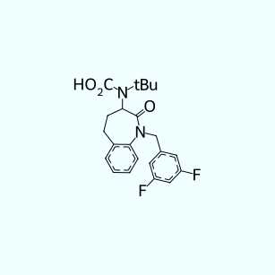 CC(C)(C)N(C(=O)O)C1CCc2ccccc2N(Cc2cc(F)cc(F)c2)C1=O